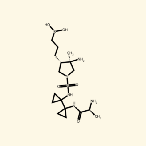 C[C@H](N)C(=O)NC1(C2(NS(=O)(=O)N3C[C@H](CCCB(O)O)[C@@](C)(N)C3)CC2)CC1